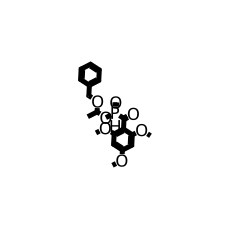 COc1cc(OC)c(C(=O)[PH](=O)OC(C)OCc2ccccc2)c(OC)c1